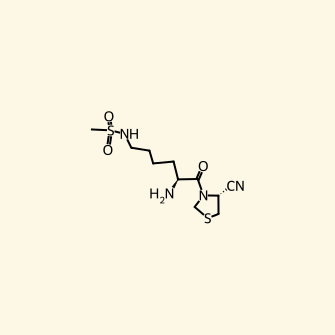 CS(=O)(=O)NCCCC[C@H](N)C(=O)N1CSC[C@H]1C#N